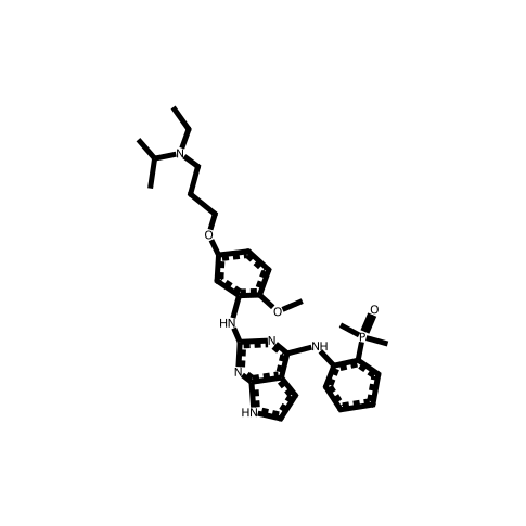 CCN(CCCOc1ccc(OC)c(Nc2nc(Nc3ccccc3P(C)(C)=O)c3cc[nH]c3n2)c1)C(C)C